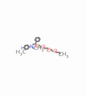 CCCOCCOCCOCCOC(CN(CC)c1ccc(I)c(C)c1)c1ccccc1